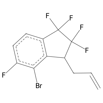 C=CCC1c2c(ccc(F)c2Br)C(F)(F)C1(F)F